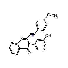 COc1ccc(/C=C/c2nc3ccccc3c(=O)n2-c2cccc(O)c2)cc1